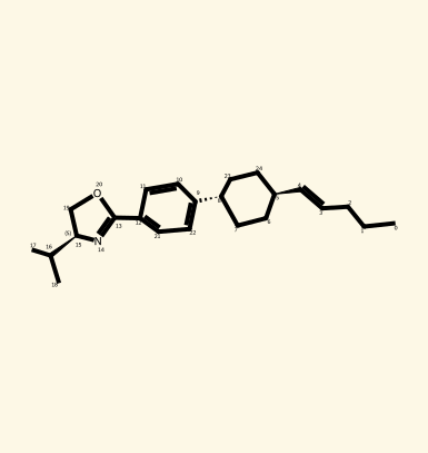 CCCC=C[C@H]1CC[C@H](c2ccc(C3=N[C@@H](C(C)C)CO3)cc2)CC1